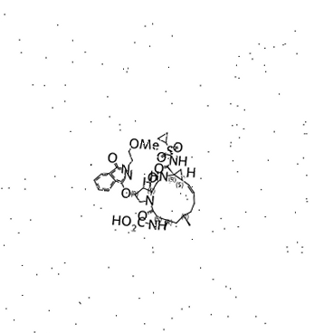 COCCn1nc(O[C@@H]2C[C@H]3C(=O)N[C@]4(C(=O)NS(=O)(=O)C5CC5)C[C@H]4C=CCC[C@@H](C)C[C@@H](C)[C@H](NC(=O)O)C(=O)N3C2)c2ccccc2c1=O